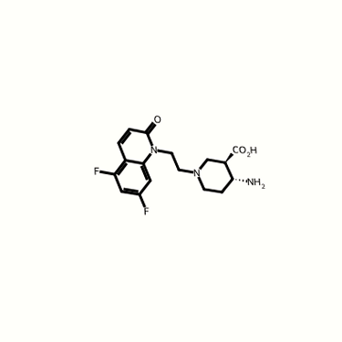 N[C@@H]1CCN(CCn2c(=O)ccc3c(F)cc(F)cc32)C[C@H]1C(=O)O